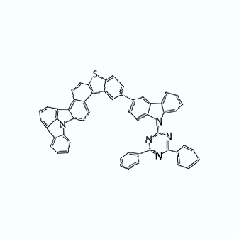 c1ccc(-c2nc(-c3ccccc3)nc(-n3c4ccccc4c4cc(-c5ccc6sc7ccc8c(ccc9c8c8cccc%10c%11ccccc%11n9c%108)c7c6c5)ccc43)n2)cc1